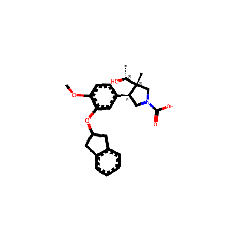 COc1ccc([C@@H]2CN(C(=O)O)C[C@@]2(C)[C@@H](C)O)cc1OC1Cc2ccccc2C1